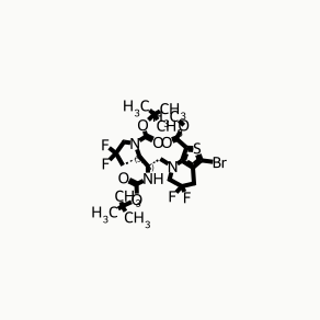 COC(=O)c1sc(Br)c2c1N(C[C@H](NC(=O)OC(C)(C)C)[C@@H]1CC(F)(F)CN1C(=O)OC(C)(C)C)CC(F)(F)C2